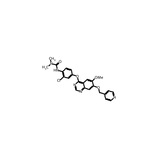 COc1cc2c(Oc3ccc(NC(=O)N(C)C)c(Cl)c3)ncnc2cc1OCc1ccncc1